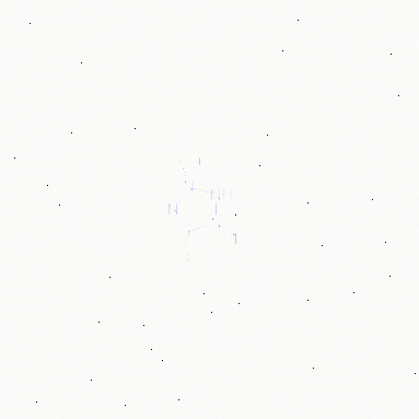 CCC(C)N1N=C(S)N(CC)N1